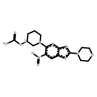 NC(=O)O[C@H]1CCCN(c2nc3nc(N4CCOCC4)sc3cc2[N+](=O)[O-])C1